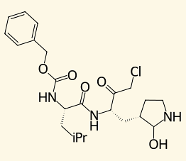 CC(C)C[C@H](NC(=O)OCc1ccccc1)C(=O)N[C@@H](C[C@@H]1CCNC1O)C(=O)CCl